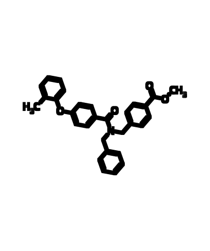 COC(=O)c1ccc(CN(Cc2ccccc2)C(=O)c2ccc(Oc3ccccc3C)cc2)cc1